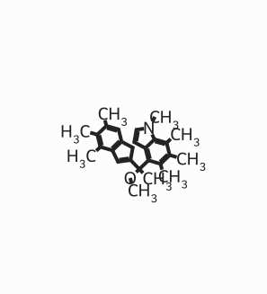 COC(C)(C1=Cc2c(cc(C)c(C)c2C)C1)c1c(C)c(C)c(C)c2c1ccn2C